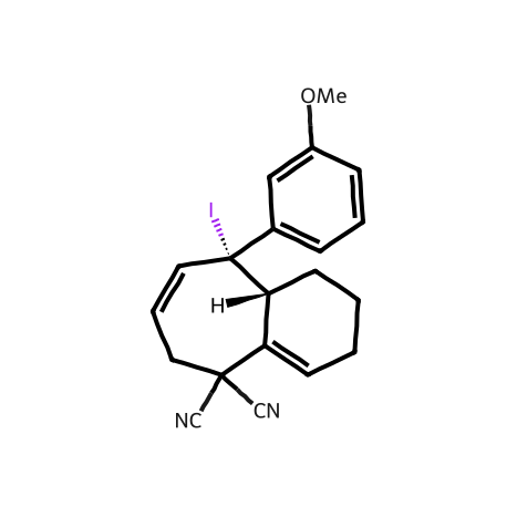 COc1cccc([C@]2(I)C=CCC(C#N)(C#N)C3=CCCC[C@H]32)c1